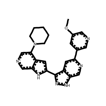 COc1cncc(-c2cc3c(-c4cc5c(N6CCCCC6)cncc5[nH]4)n[nH]c3cn2)c1